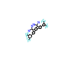 N#CC(C#N)=C1c2cc(C3=CCC(C(F)(F)F)=CC(C(F)(F)F)=C3)ccc2-c2cc3c(cc21)C(=C(C#N)C#N)c1cc(-c2cc(C(F)(F)F)cc(C(F)(F)F)c2)ccc1-3